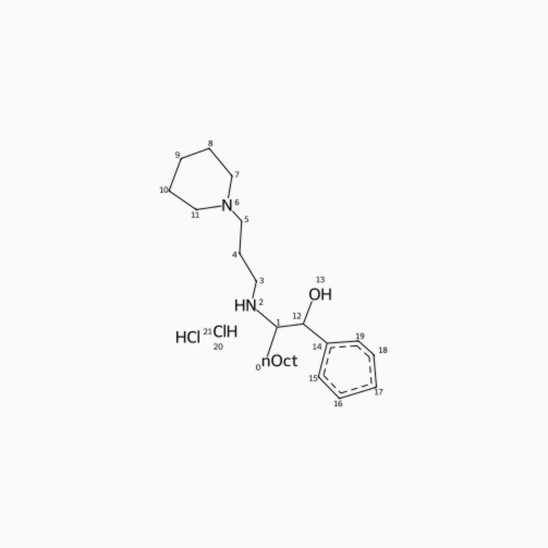 CCCCCCCCC(NCCCN1CCCCC1)C(O)c1ccccc1.Cl.Cl